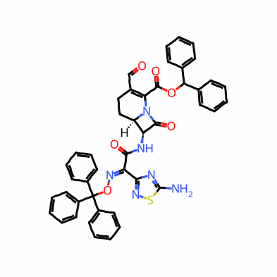 Nc1nc(/C(=N\OC(c2ccccc2)(c2ccccc2)c2ccccc2)C(=O)N[C@@H]2C(=O)N3C(C(=O)OC(c4ccccc4)c4ccccc4)=C(C=O)CC[C@H]23)ns1